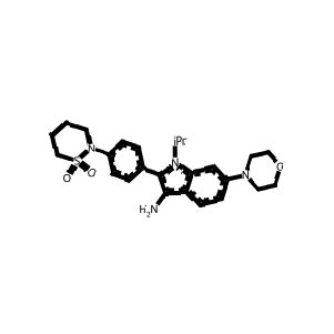 CC(C)n1c(-c2ccc(N3CCCCS3(=O)=O)cc2)c(N)c2ccc(N3CCOCC3)cc21